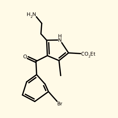 CCOC(=O)c1[nH]c(CCN)c(C(=O)c2cccc(Br)c2)c1C